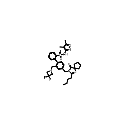 CCCCC1=NC2(CCCC2)C(=O)N1Cc1ccc(-c2ccccc2S(=O)(=O)Nc2noc(C)c2C)c(CN2CC(F)(F)C2)c1